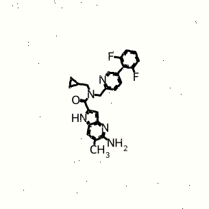 Cc1cc2[nH]c(C(=O)N(Cc3ccc(-c4c(F)cccc4F)cn3)CC3CC3)cc2nc1N